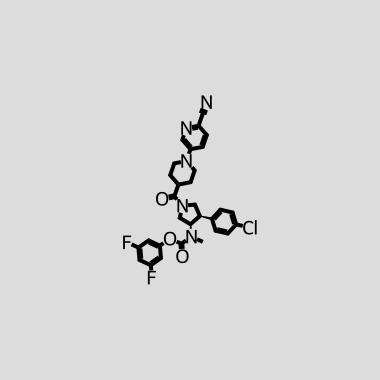 CN(C(=O)Oc1cc(F)cc(F)c1)[C@@H]1CN(C(=O)C2CCN(c3ccc(C#N)nc3)CC2)C[C@H]1c1ccc(Cl)cc1